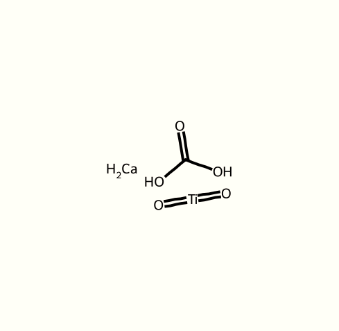 O=C(O)O.[CaH2].[O]=[Ti]=[O]